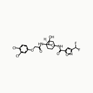 O=C(COc1ccc(Cl)c(Cl)c1)NC12CCC(NC(=O)c3cc(C(F)F)no3)(CC1)C[C@@H]2O